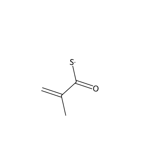 C=C(C)C(=O)[S]